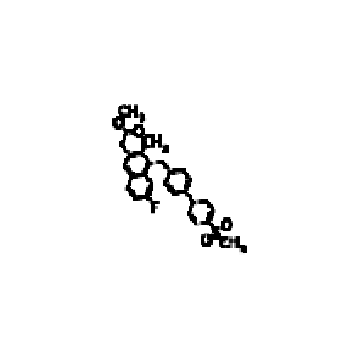 COC(=O)Cc1cc2ccc(F)cc2c(Cc2ccc(-c3ccc(S(C)(=O)=O)cc3)cc2)c1C